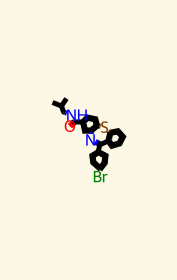 CC(C)CNC(=O)c1ccc2c(c1)N=C(c1ccc(Br)cc1)c1ccccc1S2